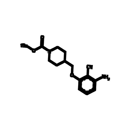 CC(C)(C)OC(=O)N1CCC(COc2cccc(N)c2C#N)CC1